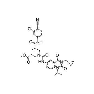 COC(=O)[C@@H]1C[C@H](C(=O)Nc2ccc(C#N)c(Cl)c2)CN(C(=O)Nc2ccc3c(c2)c(=O)n(CC2CC2)c(=O)n3C(C)C)C1